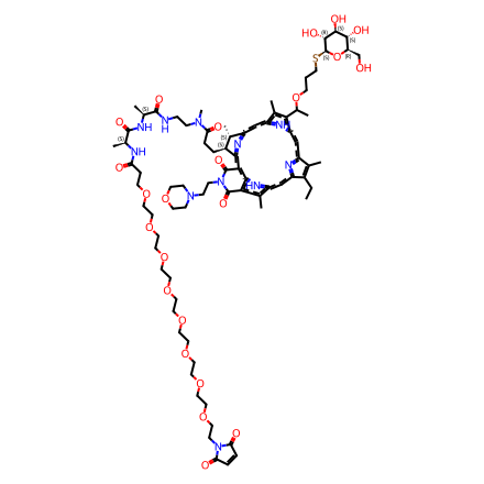 CCC1=C(C)c2cc3[nH]c(cc4nc(c5c6[nH]c(cc1n2)c(C)c6C(=O)N(CCN1CCOCC1)C5=O)[C@@H](CCC(=O)N(C)CCNC(=O)[C@H](C)NC(=O)[C@H](C)NC(=O)CCOCCOCCOCCOCCOCCOCCOCCOCCN1C(=O)C=CC1=O)[C@@H]4C)c(C)c3C(C)OCCCS[C@@H]1O[C@H](CO)[C@@H](O)[C@H](O)[C@H]1O